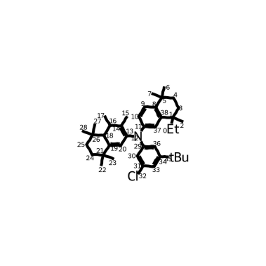 CCC1(C)CCC(C)(C)c2ccc(N(C3=C(C)C(C)C4C(=C3)C(C)(C)CCC4(C)C)c3cc(Cl)cc(C(C)(C)C)c3)cc21